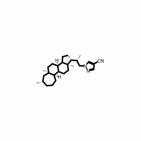 C[C@H]1CCC[C@@H]2C3CC[C@@]4(C)C(CC[C@@H]4[C@H](C)Cn4cc(C#N)cn4)[C@@H]3CC[C@]2(C)C1